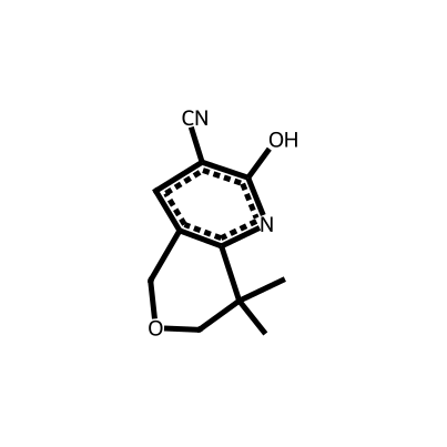 CC1(C)COCc2cc(C#N)c(O)nc21